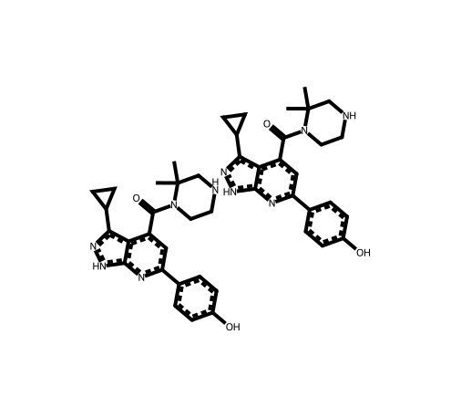 CC1(C)CNCCN1C(=O)c1cc(-c2ccc(O)cc2)nc2[nH]nc(C3CC3)c12.CC1(C)CNCCN1C(=O)c1cc(-c2ccc(O)cc2)nc2[nH]nc(C3CC3)c12